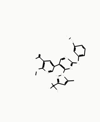 [C-]#[N+]c1cccc(Nc2ncc(-c3cnc(OC)c(C(=O)O)c3)c(-n3nc(C(F)(F)F)cc3C)n2)c1